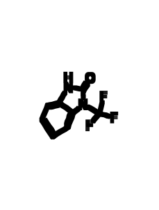 O=c1[nH]c2ccccc2n1C(F)(F)F